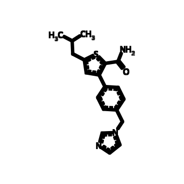 CC(C)Cc1cc(-c2ccc(Cn3ccnc3)cc2)c(C(N)=O)s1